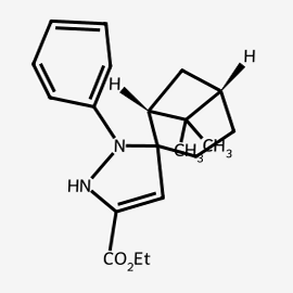 CCOC(=O)C1=CC2(CC[C@H]3C[C@@H]2C3(C)C)N(c2ccccc2)N1